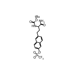 CC(C)(C)OC(=O)NC(CCc1ccc2cc(OS(=O)(=O)C(F)(F)F)ccc2c1)C(N)=O